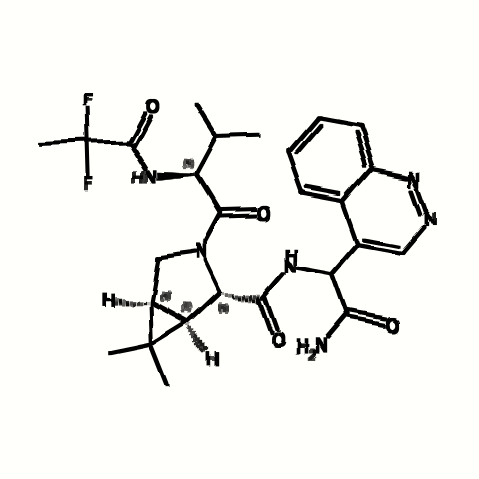 CC(C)[C@H](NC(=O)C(C)(F)F)C(=O)N1C[C@H]2[C@@H]([C@H]1C(=O)NC(C(N)=O)c1cnnc3ccccc13)C2(C)C